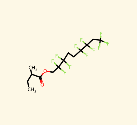 CCC(C)C(=O)OCC(F)(F)C(F)(F)CCC(F)(F)C(F)(F)CC(F)(F)F